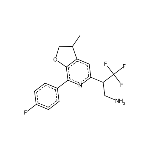 CC1COc2c1cc(C(CN)C(F)(F)F)nc2-c1ccc(F)cc1